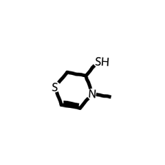 CN1C=CSCC1S